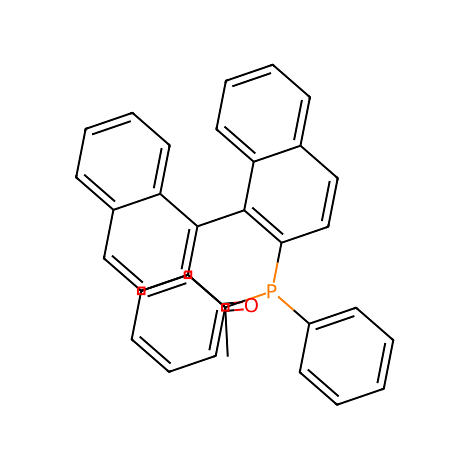 CC(=O)c1ccc2ccccc2c1-c1c(P(c2ccccc2)c2ccccc2)ccc2ccccc12